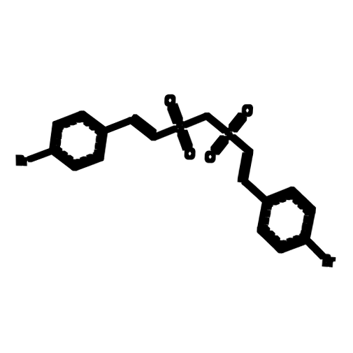 O=S(=O)(/C=C/c1ccc(Br)cc1)CS(=O)(=O)/C=C/c1ccc(Br)cc1